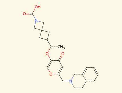 CC(Oc1coc(CN2CCc3ccccc3C2)cc1=O)C1CC2(C1)CN(C(=O)O)C2